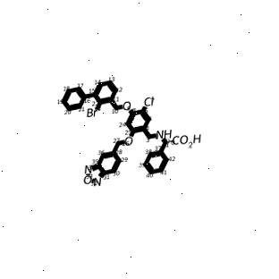 O=C(O)[C@@H](NCc1cc(Cl)c(OCc2cccc(-c3ccccc3)c2Br)cc1OCc1ccc2nonc2c1)c1ccccc1